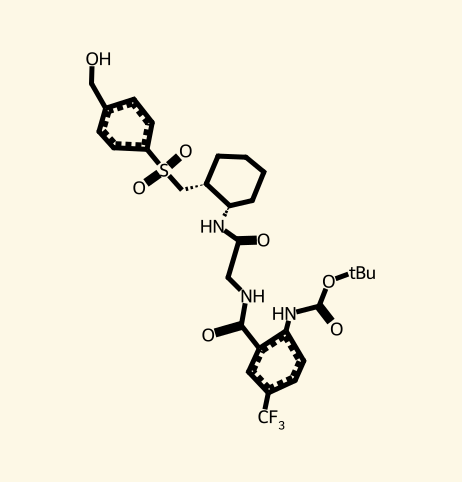 CC(C)(C)OC(=O)Nc1ccc(C(F)(F)F)cc1C(=O)NCC(=O)N[C@H]1CCCC[C@H]1CS(=O)(=O)c1ccc(CO)cc1